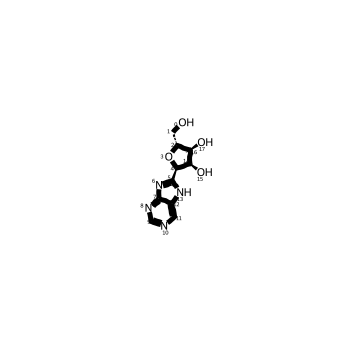 OC[C@H]1O[C@H](c2nc3ncncc3[nH]2)[C@H](O)[C@@H]1O